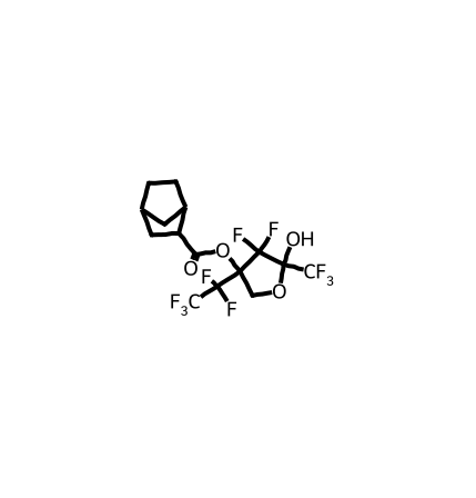 O=C(OC1(C(F)(F)C(F)(F)F)COC(O)(C(F)(F)F)C1(F)F)C1CC2CCC1C2